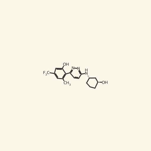 Cc1cc(C(F)(F)F)cc(O)c1-c1ccc(N[C@H]2CCC[C@H](O)C2)nn1